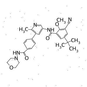 COc1c(C#N)cc(C(C)(C)C)cc1C(=O)Nc1cnc(C)c(-c2ccc(C(=O)NN3CCOCC3)cc2)c1